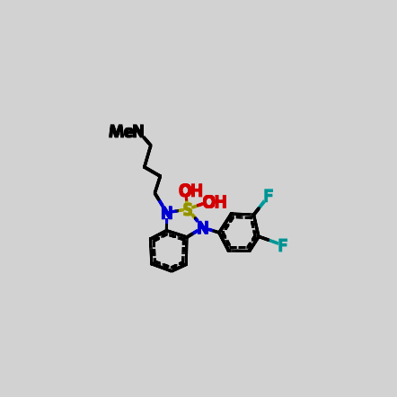 CNCCCCN1c2ccccc2N(c2ccc(F)c(F)c2)S1(O)O